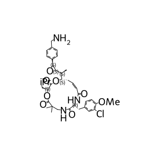 COc1ccc(C[C@H]2NC(=O)C=CC[C@@H]([C@H](C)[C@@H]3O[C@H]3c3ccc(CN)cc3)OC(=O)[C@H](CC(C)C)OC(=O)C(C)(C)CNC2=O)cc1Cl